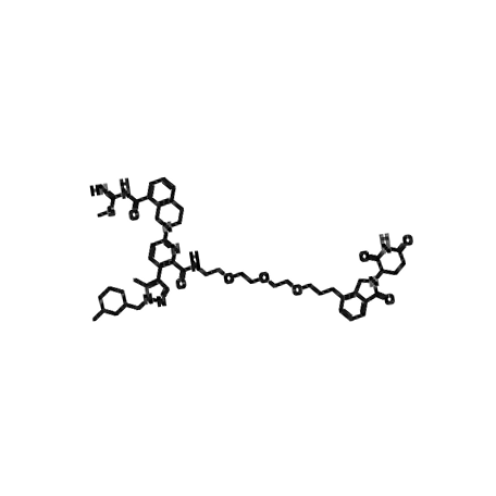 CSC(=N)NC(=O)c1cccc2c1CN(c1ccc(-c3cnn(CC4CCCC(C)C4)c3C)c(C(=O)NCCOCCOCCOCCCc3cccc4c3CN(C3CCC(=O)NC3=O)C4=O)n1)CC2